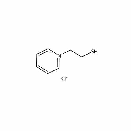 SCC[n+]1ccccc1.[Cl-]